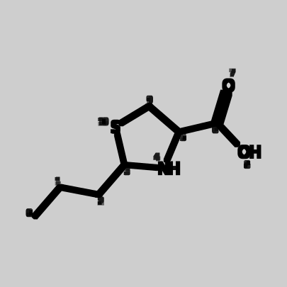 CCCC1NC(C(=O)O)CS1